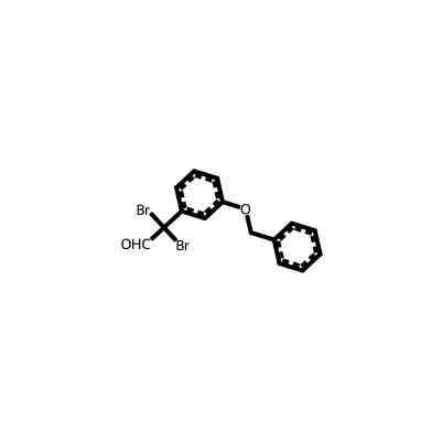 O=CC(Br)(Br)c1cccc(OCc2ccccc2)c1